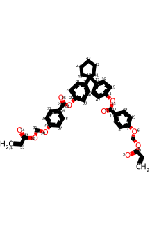 C=CC(=O)OCOc1ccc(C(=O)Oc2ccc(C3(c4ccc(OC(=O)c5ccc(OCOC(=O)C=C)cc5)cc4)CCCCC3)cc2)cc1